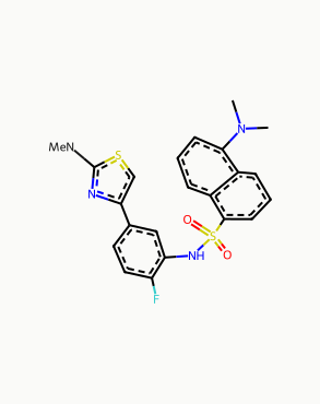 CNc1nc(-c2ccc(F)c(NS(=O)(=O)c3cccc4c(N(C)C)cccc34)c2)cs1